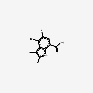 Cc1[nH]c2c(C(=O)O)cc(F)c(Br)c2c1C